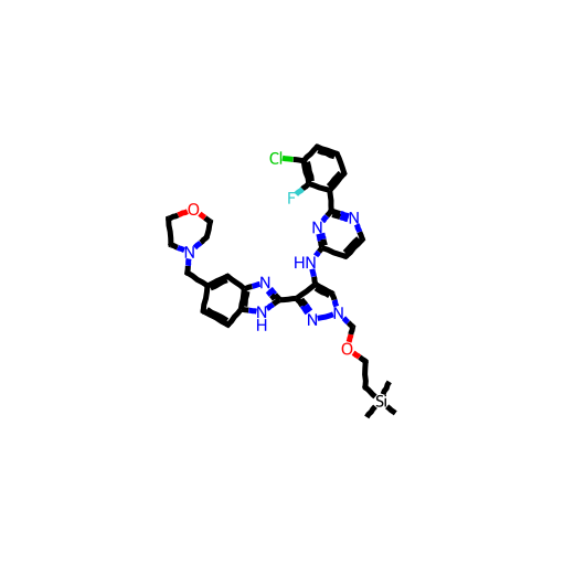 C[Si](C)(C)CCOCn1cc(Nc2ccnc(-c3cccc(Cl)c3F)n2)c(-c2nc3cc(CN4CCOCC4)ccc3[nH]2)n1